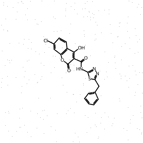 O=C(Nc1nnc(Cc2ccccc2)s1)c1c(O)c2ccc(Cl)cc2oc1=O